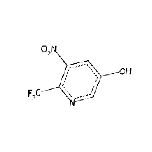 O=[N+]([O-])c1cc(O)cnc1C(F)(F)F